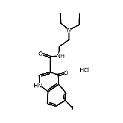 CCN(CC)CCNC(=O)c1c[nH]c2ccc(I)cc2c1=O.Cl